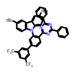 CC(C)(C)c1ccc2c(c1)c1cc(C(C)(C)C)ccc1n2-c1cc(-c2cc(C(F)(F)F)cc(C(F)(F)F)c2)ccc1-c1nc(-c2ccccc2)nc(-c2ccccc2)n1